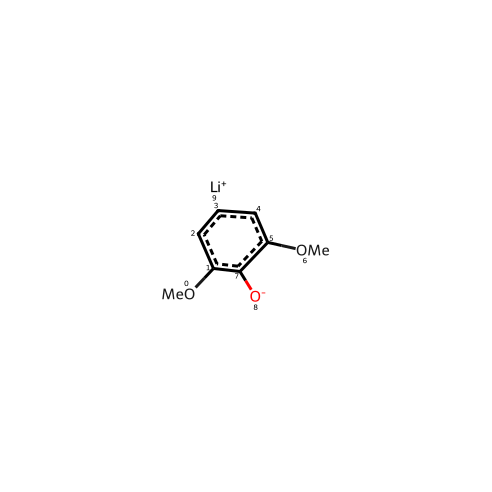 COc1cccc(OC)c1[O-].[Li+]